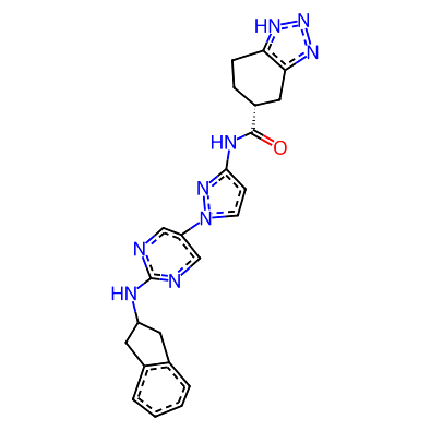 O=C(Nc1ccn(-c2cnc(NC3Cc4ccccc4C3)nc2)n1)[C@@H]1CCc2[nH]nnc2C1